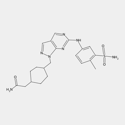 Cc1ccc(Nc2ncc3cnn(CC4CCC(CC(N)=O)CC4)c3n2)cc1S(N)(=O)=O